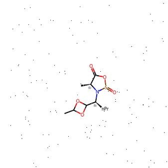 CCC[C@@H](C1OC(C)O1)N1[C@@H](C)C(=O)OS1=O